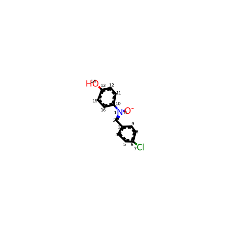 [O-][N+](=Cc1ccc(Cl)cc1)c1ccc(O)cc1